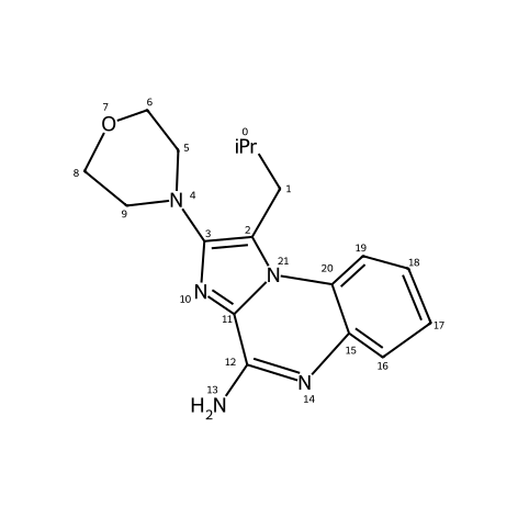 CC(C)Cc1c(N2CCOCC2)nc2c(N)nc3ccccc3n12